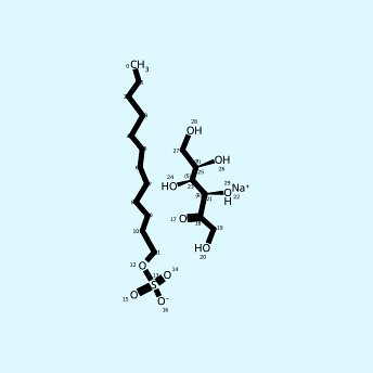 CCCCCCCCCCCCOS(=O)(=O)[O-].O=C(CO)[C@H](O)[C@@H](O)[C@H](O)CO.[Na+]